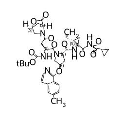 C=C[C@@H]1C[C@]1(NC(=O)[C@@H]1C[C@@H](Oc2nccc3cc(C)ccc23)CN1C(=O)[C@H](CC(=O)N1C[C@@H]2C[C@H]1C(=O)O2)NC(=O)OC(C)(C)C)C(=O)NS(=O)(=O)C1CC1